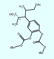 CC(=O)OCC(C)C(c1ccc(OC(=O)OC(C)(C)C)c(OC(=O)OC(C)(C)C)c1)[C@H](N)C(=O)O